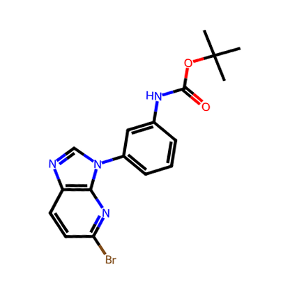 CC(C)(C)OC(=O)Nc1cccc(-n2cnc3ccc(Br)nc32)c1